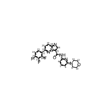 O=C(Nc1cccc(N2CCOCC2)n1)c1cnc2ccc(-c3ccc(F)c(F)c3F)nn12